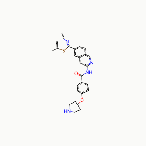 C=C/N=C(\SC(=C)C)c1ccc2cnc(NC(=O)c3ccc(OC4CCNCC4)cc3)cc2c1